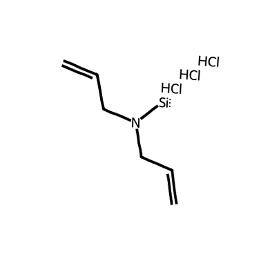 C=CCN([Si])CC=C.Cl.Cl.Cl